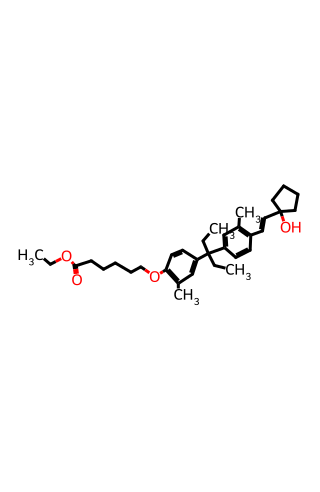 CCOC(=O)CCCCCOc1ccc(C(CC)(CC)c2ccc(/C=C/C3(O)CCCC3)c(C)c2)cc1C